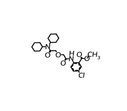 COC(=O)c1cc(Cl)ccc1NC(=O)COCC(=O)N(C1CCCCC1)C1CCCCC1